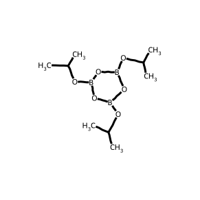 CC(C)OB1OB(OC(C)C)OB(OC(C)C)O1